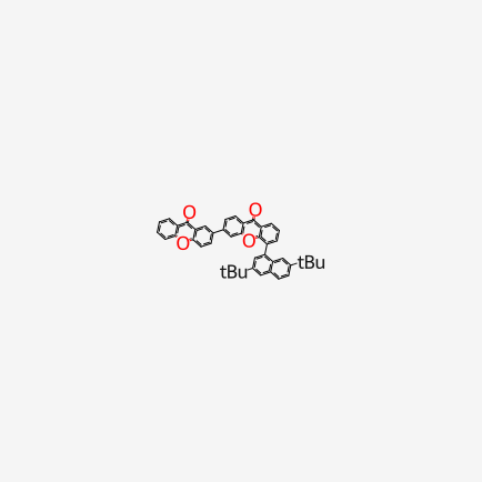 CC(C)(C)c1cc(-c2cccc3c(=O)c4ccc(-c5ccc6oc7ccccc7c(=O)c6c5)cc4oc23)c2cc(C(C)(C)C)ccc2c1